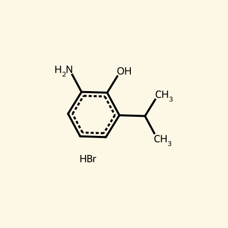 Br.CC(C)c1cccc(N)c1O